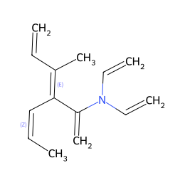 C=C/C(C)=C(\C=C/C)C(=C)N(C=C)C=C